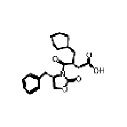 O=C(O)C[C@H](CC1CCCCC1)C(=O)N1C(=O)OC[C@H]1Cc1ccccc1